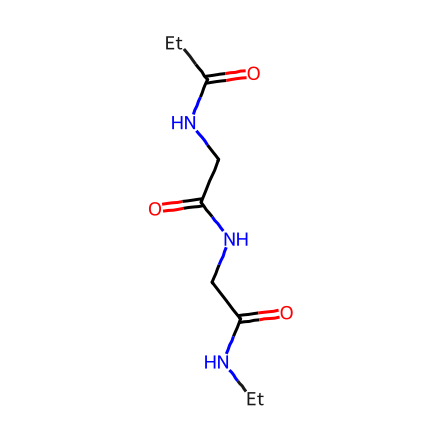 CCNC(=O)CNC(=O)CNC(=O)CC